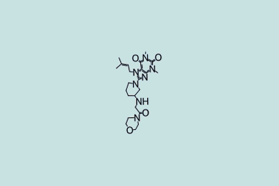 CC(C)=CCn1c(N2CCCC(NCC(=O)N3CCOCC3)C2)nc2c1c(=O)n(C)c(=O)n2C